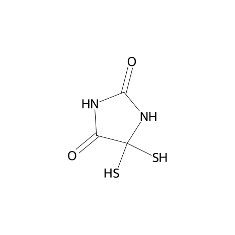 O=C1NC(=O)C(S)(S)N1